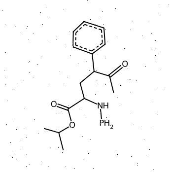 CC(=O)C(CC(NP)C(=O)OC(C)C)c1ccccc1